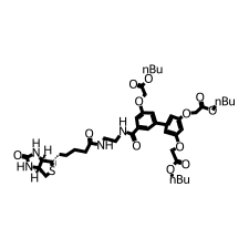 CCCCOC(=O)COc1cc(OCC(=O)OCCCC)cc(-c2cc(OCC(=O)OCCCC)cc(C(=O)NCCNC(=O)CCCC[C@@H]3SC[C@@H]4NC(=O)N[C@@H]43)c2)c1